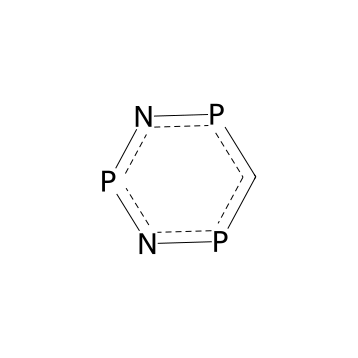 c1pnpnp1